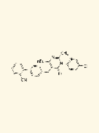 CCCCc1nc(C)n(-c2ccc(Cl)cn2)c(=O)c1Cc1ccc(-c2ccccc2C#N)cc1